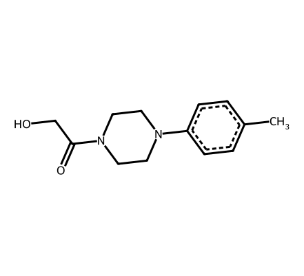 Cc1ccc(N2CCN(C(=O)CO)CC2)cc1